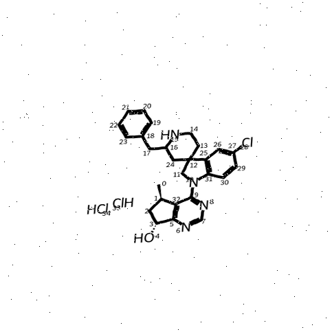 C[C@@H]1C[C@@H](O)c2ncnc(N3CC4(CCNC(Cc5ccccc5)C4)c4cc(Cl)ccc43)c21.Cl.Cl